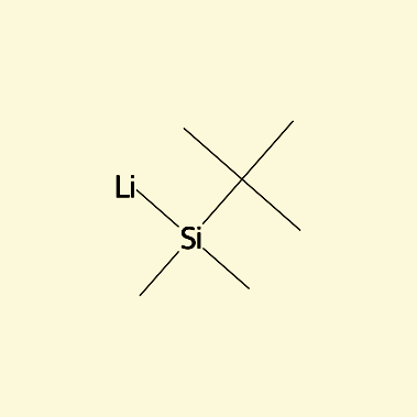 [Li][Si](C)(C)C(C)(C)C